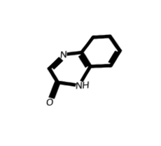 O=c1cnc2c([nH]1)C=CCC2